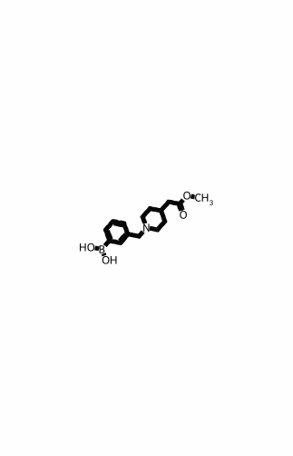 COC(=O)CC1CCN(Cc2cccc(B(O)O)c2)CC1